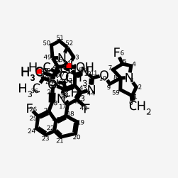 C=C1CN2CC(F)CC2(COc2nc3c4c(nc(-c5cccc6ccc(F)c(C#C[Si](C(C)C)(C(C)C)C(C)C)c56)c(F)c4n2)OC(C)C2C4CCC(CN32)N4C(=O)O)C1